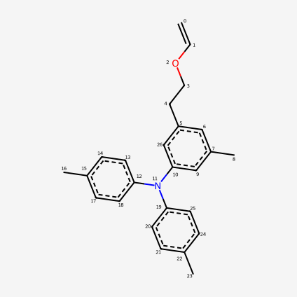 C=COCCc1cc(C)cc(N(c2ccc(C)cc2)c2ccc(C)cc2)c1